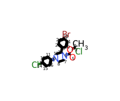 CC(Cl)OC(=O)N1CCN(c2ccc(Cl)cc2)CC1c1ccc(Br)cc1